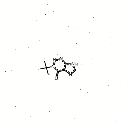 CC(C)(C)n1nnc2[nH]cnc2c1=O